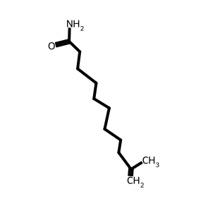 C=C(C)CCCCCCCCC(N)=O